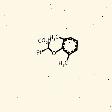 CC[C@H](Oc1c(C)cccc1C)C(=O)O